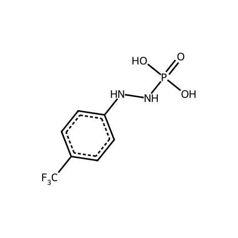 O=P(O)(O)NNc1ccc(C(F)(F)F)cc1